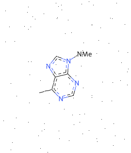 CNn1cnc2c(C)ncnc21